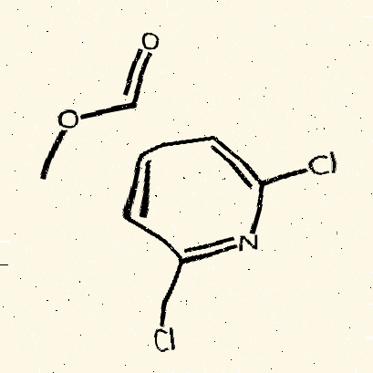 COC=O.Clc1cccc(Cl)n1